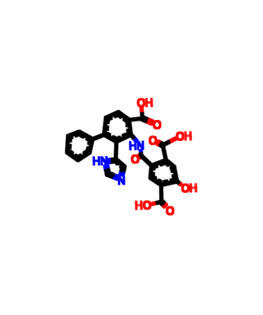 O=C(O)c1cc(C(=O)Nc2c(C(=O)O)ccc(-c3ccccc3)c2-c2cnc[nH]2)c(C(=O)O)cc1O